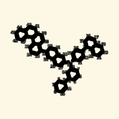 c1ccc(-c2cccc(N(c3ccc(-c4cccc5ccccc45)cc3)c3ccc4cc(-c5cccc6c5ccc5ccc7ccccc7c56)ccc4c3)c2)cc1